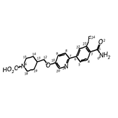 NC(=O)c1ccc(-c2ccc(OCC3CCN(C(=O)O)CC3)cn2)cc1F